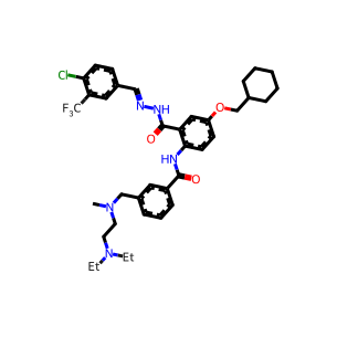 CCN(CC)CCN(C)Cc1cccc(C(=O)Nc2ccc(OCC3CCCCC3)cc2C(=O)N/N=C/c2ccc(Cl)c(C(F)(F)F)c2)c1